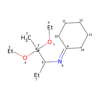 CCO[Si](C)(OCC)C(CC)N=C1CCCCC1